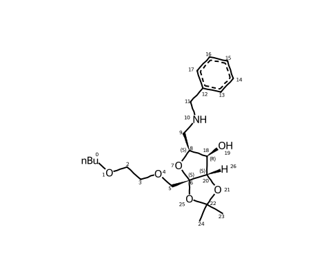 CCCCOCCOC[C@@]12O[C@@H](CNCc3ccccc3)[C@@H](O)[C@@H]1OC(C)(C)O2